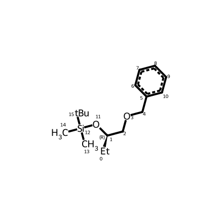 CC[C@H](COCc1ccccc1)O[Si](C)(C)C(C)(C)C